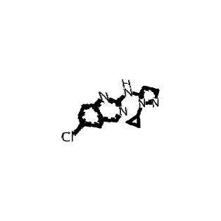 Clc1ccc2nc(Nc3ccnn3C3CC3)ncc2c1